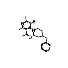 CC(=O)c1c(C)nc(C)c(Br)c1N1CCC(Cc2ccccc2)CC1